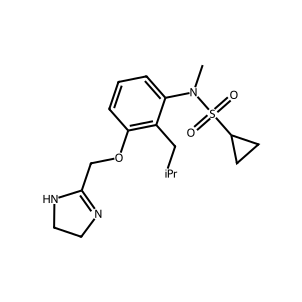 CC(C)Cc1c(OCC2=NCCN2)cccc1N(C)S(=O)(=O)C1CC1